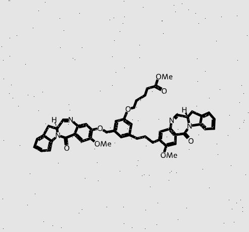 COC(=O)CCCCOc1cc(CCCc2cc3c(cc2OC)C(=O)N2c4ccccc4C[C@H]2C=N3)cc(COc2cc3c(cc2OC)C(=O)N2c4ccccc4C[C@H]2C=N3)c1